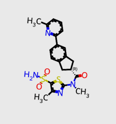 Cc1cccc(-c2ccc3c(c2)C[C@H](C(=O)N(C)c2nc(C)c(S(N)(=O)=O)s2)C3)n1